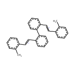 Cc1ccccc1/C=C/c1ccccc1-c1ccccc1/C=C/c1ccccc1C